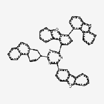 C1=CC(c2nc(-c3ccc4oc5ccccc5c4c3)nc(-c3ccc(-c4cccc5sc6ccccc6c45)c4oc5ccccc5c34)n2)Cc2ccc3ccccc3c21